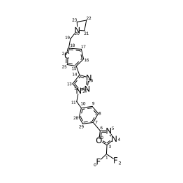 FC(F)c1nnc(-c2ccc(Cn3cc(-c4ccc(CN5CCC5)cc4)nn3)cc2)o1